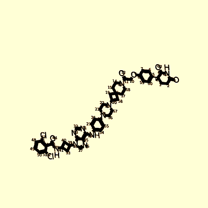 O=C1CC[C@@H](c2ccc(OCC(=O)N3CCC4(CC3)CC(N3CCN(c5ccc(Nc6ncnc7c6ncn7C6CC(NC(=O)c7c(Cl)cccc7Cl)C6)cc5)CC3)C4)cc2)C(=O)N1